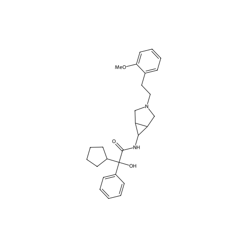 COc1ccccc1CCN1CC2C(C1)C2NC(=O)C(O)(c1ccccc1)C1CCCC1